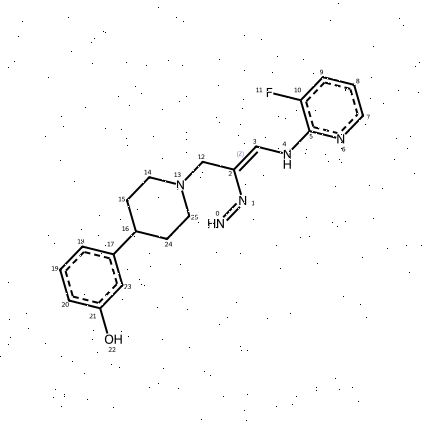 N=N/C(=C\Nc1ncccc1F)CN1CCC(c2cccc(O)c2)CC1